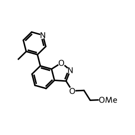 COCCOc1noc2c(-c3cnccc3C)cccc12